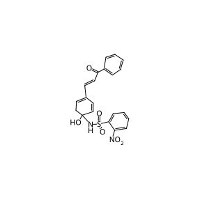 O=C(C=CC1=CCC(O)(NS(=O)(=O)c2ccccc2[N+](=O)[O-])C=C1)c1ccccc1